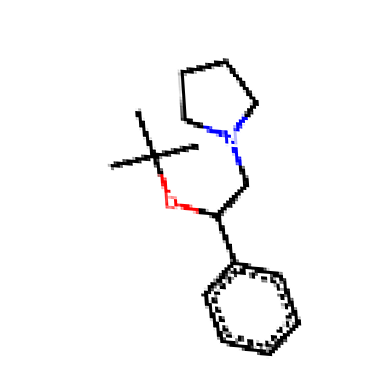 CC(C)(C)OC(CN1CCCC1)c1ccccc1